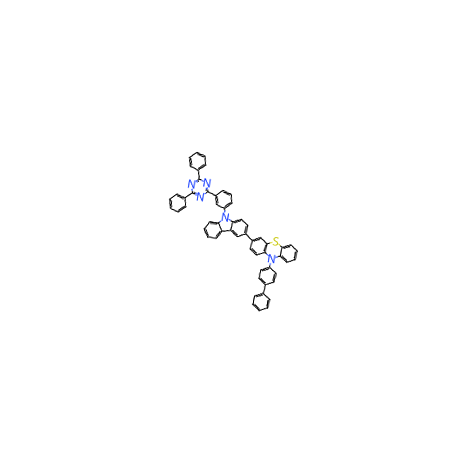 c1ccc(-c2ccc(N3c4ccccc4Sc4cc(-c5ccc6c(c5)c5ccccc5n6-c5cccc(-c6nc(-c7ccccc7)nc(-c7ccccc7)n6)c5)ccc43)cc2)cc1